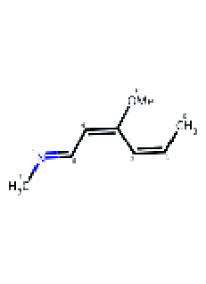 C\C=C/C(=C\C=N\C)OC